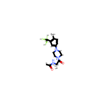 [2H]c1ccc(N2CCN(C(=O)[C@H](C)NC(C)=O)CC2)cc1C(F)(F)F